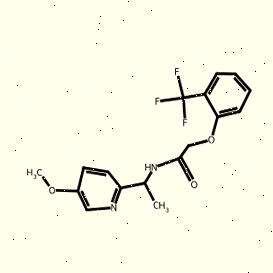 COc1ccc(C(C)NC(=O)COc2ccccc2C(F)(F)F)nc1